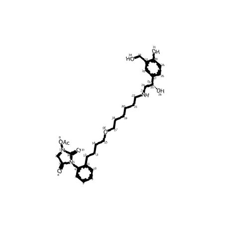 CC(=O)ON1CC(=O)N(c2ccccc2CCCCOCCCCCCNC[C@@H](O)c2ccc(O)c(CO)c2)C1=O